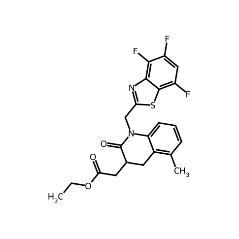 CCOC(=O)CC1Cc2c(C)cccc2N(Cc2nc3c(F)c(F)cc(F)c3s2)C1=O